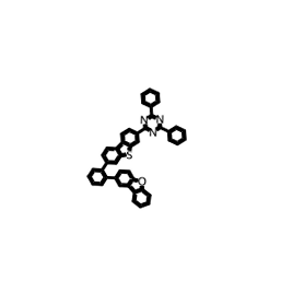 c1ccc(-c2nc(-c3ccccc3)nc(-c3ccc4c(c3)sc3cc(-c5ccccc5-c5ccc6oc7ccccc7c6c5)ccc34)n2)cc1